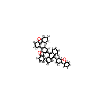 c1ccc2c(c1)oc1cc(-c3c4ccccc4c(-c4ccc(-c5cccc6oc7ccccc7c56)c5oc6ccccc6c45)c4ccccc34)ccc12